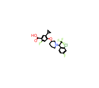 O=C(O)c1cc(C2CC2)c(O[C@@H]2CCCN(C(c3ccc(F)cc3Cl)C(F)(F)F)C2)cc1F